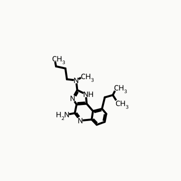 CCCCN(C)c1nc2c(N)nc3cccc(CC(C)C)c3c2[nH]1